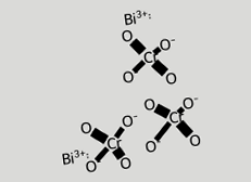 [Bi+3].[Bi+3].[O]=[Cr](=[O])([O-])[O-].[O]=[Cr](=[O])([O-])[O-].[O]=[Cr](=[O])([O-])[O-]